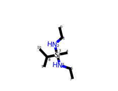 CCN[Si](C)(NCC)C(C)C